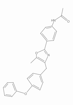 CC(=O)Nc1ccc(-c2nc(Cc3ccc(Oc4ccccc4)cc3)c(C)o2)cc1